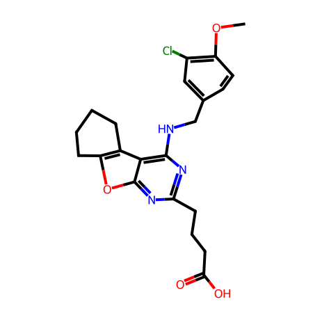 COc1ccc(CNc2nc(CCCC(=O)O)nc3oc4c(c23)CCCC4)cc1Cl